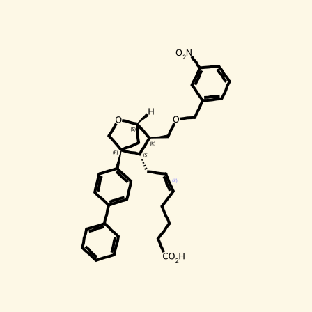 O=C(O)CCC/C=C\C[C@H]1[C@H](COCc2cccc([N+](=O)[O-])c2)[C@@H]2C[C@@]1(c1ccc(-c3ccccc3)cc1)CO2